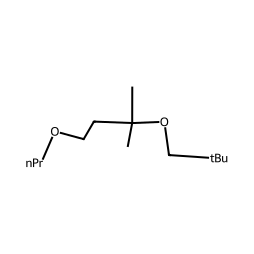 CCCOCCC(C)(C)OCC(C)(C)C